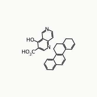 C1=CC2=C(CC1)CCc1c2ccc2ccccc12.O=C(O)c1cnc2ccncc2c1O